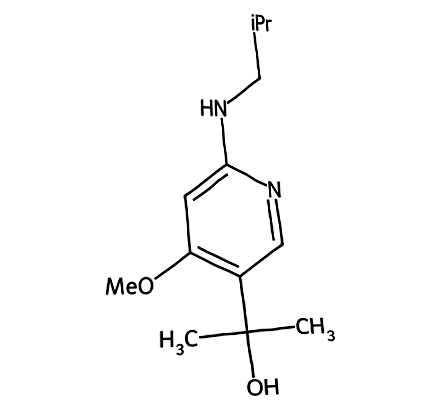 COc1cc(NCC(C)C)ncc1C(C)(C)O